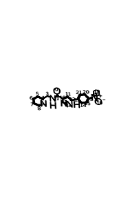 O=C(NCc1ccccn1)c1cc(-c2ccc([N+](=O)[O-])cc2)[nH]n1